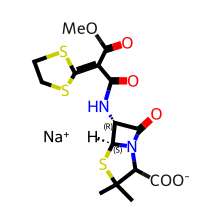 COC(=O)C(C(=O)N[C@@H]1C(=O)N2C(C(=O)[O-])C(C)(C)S[C@@H]12)=C1SCCS1.[Na+]